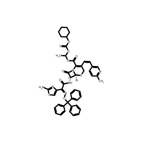 Cc1ccc(/C=C\C2=C(C(=O)OC(C)OC(=O)OC3CCCCC3)N3C(=O)[C@@H](NC(=O)C(=NOC(c4ccccc4)(c4ccccc4)c4ccccc4)c4csc(N)n4)[C@@H]3SC2)cn1